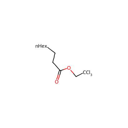 CCCCCCCCC(=O)OCC(Cl)(Cl)Cl